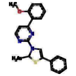 COc1ccccc1-c1ccnc(N2C=C(c3ccccc3)SC2[AsH2])n1